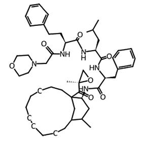 CC(C)C[C@H](NC(=O)[C@H](CCc1ccccc1)NC(=O)CN1CCOCC1)C(=O)N[C@@H](Cc1ccccc1)C(=O)N[C@H]1CC(C)C2CCCCCCCCCCC1(C(=O)[C@@]1(C)CO1)C2